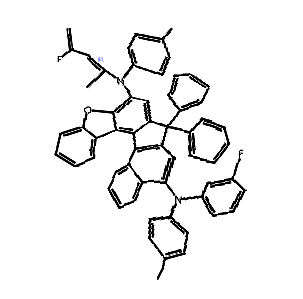 C=C(F)/C=C(\C)N(c1ccc(C)cc1)c1cc2c(c3c1oc1ccccc13)-c1c(cc(N(c3ccc(C)cc3)c3cccc(F)c3)c3ccccc13)C2(c1ccccc1)c1ccccc1